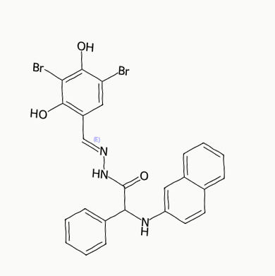 O=C(N/N=C/c1cc(Br)c(O)c(Br)c1O)C(Nc1ccc2ccccc2c1)c1ccccc1